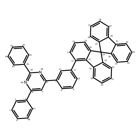 c1ccc(-c2cc(-c3cccc(-c4cccc5c4-c4ccccc4C54c5ccccc5-c5ccccc54)c3)nc(-c3ccccc3)n2)cc1